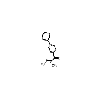 CC[C@@H](C)C(=O)N1CCN(C2CCCCC2)CC1